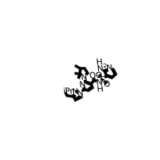 CC(C)Cc1ccn(-c2ccc(C(=O)NS(=O)(=O)c3cccnc3N)c(N3CCC(C)C3(C)C)n2)n1